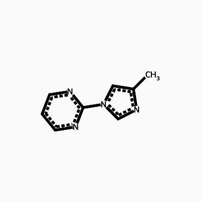 Cc1cn(-c2ncccn2)cn1